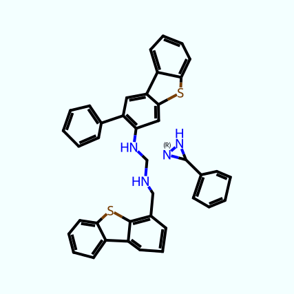 c1ccc(-c2cc3c(cc2NC(NCc2cccc4c2sc2ccccc24)[N@@]2NC2c2ccccc2)sc2ccccc23)cc1